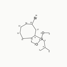 CO[Si](CC(C)C)(OC)C1CCCCCC(Br)C1